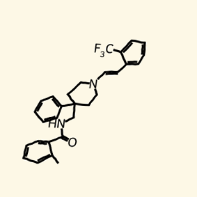 Cc1ccccc1C(=O)NCC1(c2ccccc2)CCN(C=Cc2ccccc2C(F)(F)F)CC1